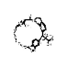 Cc1cc2ccc1C(=O)N1CCc3ccc(cc3C1)[C@@H](C(C)(C)C(=O)O)c1ccc3c(c1)nnn3CCCCCCO2